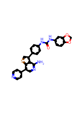 Nc1ncc(-c2ccncc2)c2scc(-c3ccc(NC(=O)Nc4ccc5c(c4)OCO5)cc3)c12